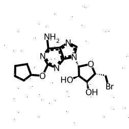 Nc1nc(OC2CCCC2)nc2c1ncn2[C@@H]1O[C@H](CBr)[C@@H](O)[C@H]1O